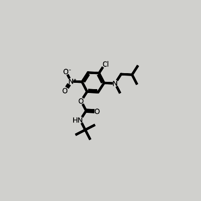 CC(C)CN(C)c1cc(OC(=O)NC(C)(C)C)c([N+](=O)[O-])cc1Cl